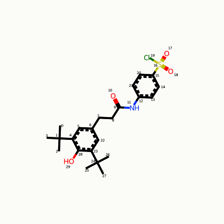 CC(C)(C)c1cc(CCC(=O)Nc2ccc(S(=O)(=O)Cl)cc2)cc(C(C)(C)C)c1O